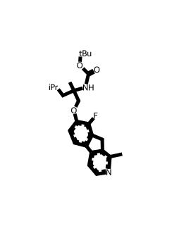 Cc1nccc2c1Cc1c-2ccc(OCC(C)(CC(C)C)NC(=O)OC(C)(C)C)c1F